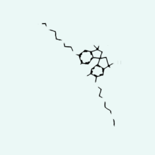 CCOCCOCCOc1cc2c(cc1O)C1(CC2(C)C)CC(C)(C)c2cc(OCCOCCOCC)c(O)cc21